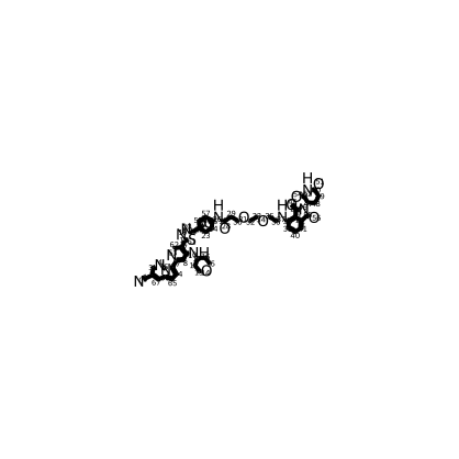 N#Cc1cnn2c(-c3cc(NC4CCOCC4)c(-c4nnc(C56CCC(NC(=O)CCOCCOCCNc7cccc8c7C(=O)N(C7CCC(=O)NC7=O)C8=O)(CC5)CC6)s4)cn3)ccc2c1